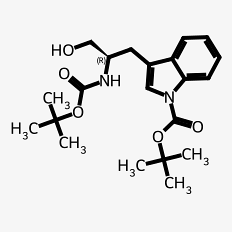 CC(C)(C)OC(=O)N[C@@H](CO)Cc1cn(C(=O)OC(C)(C)C)c2ccccc12